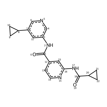 O=C(Nc1cncc(C2CC2)c1)c1ccnc(NC(=O)C2CC2)c1